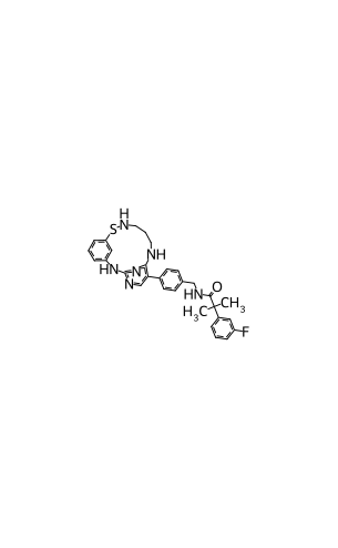 CC(C)(C(=O)NCc1ccc(-c2cnc3nc2NCCCNSc2cccc(c2)N3)cc1)c1cccc(F)c1